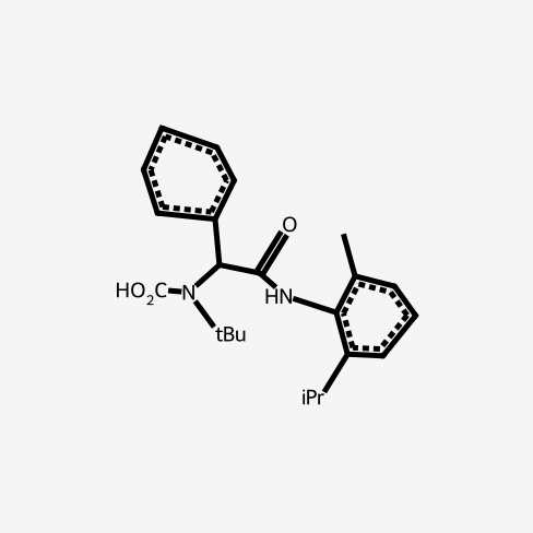 Cc1cccc(C(C)C)c1NC(=O)C(c1ccccc1)N(C(=O)O)C(C)(C)C